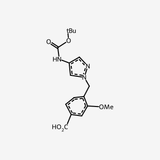 COc1cc(C(=O)O)ccc1Cn1cc(NC(=O)OC(C)(C)C)cn1